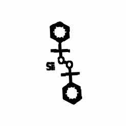 CC(C)(OOC(C)(C)c1ccccc1)c1ccccc1.[Si]